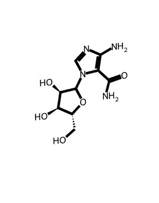 NC(=O)c1c(N)ncn1C1O[C@H](CO)[C@@H](O)[C@H]1O